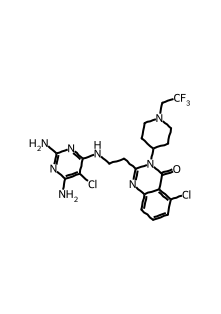 Nc1nc(N)c(Cl)c(NCCc2nc3cccc(Cl)c3c(=O)n2C2CCN(CC(F)(F)F)CC2)n1